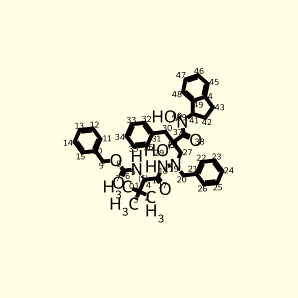 CC(C)(C)[C@H](NC(=O)OCc1ccccc1)C(=O)NN(Cc1ccccc1)C[C@@](O)(Cc1ccccc1)C(=O)N(O)C1CCc2ccccc21